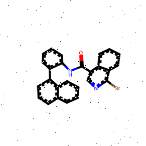 O=C(Nc1ccccc1-c1cccc2ccccc12)c1cnc(Br)c2ccccc12